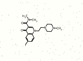 CN1CCN(CCn2cc(C(=O)N(C)C)c(=O)c3cc(I)ccc32)CC1